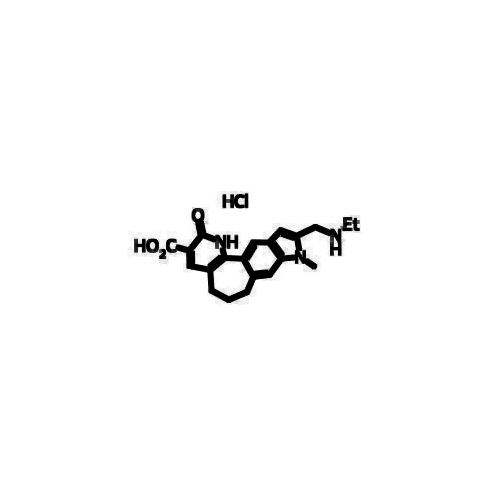 CCNCc1cc2cc3c(cc2n1C)CCCc1cc(C(=O)O)c(=O)[nH]c1-3.Cl